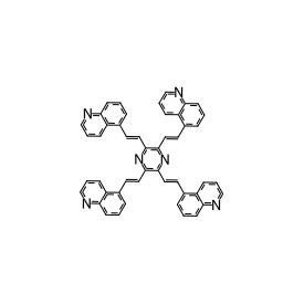 C(=Cc1cccc2ncccc12)c1nc(C=Cc2cccc3ncccc23)c(C=Cc2cccc3ncccc23)nc1C=Cc1cccc2ncccc12